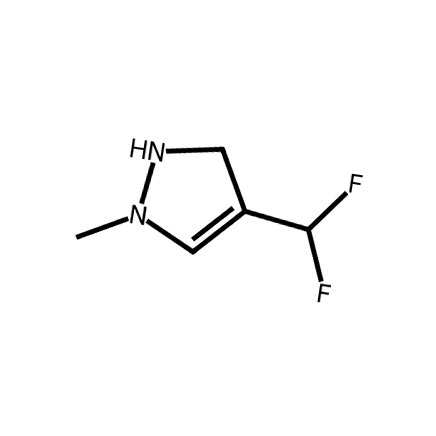 CN1C=C(C(F)F)CN1